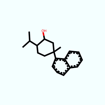 CC(C)C1CCC(C)(c2cccc3ccccc23)CC1O